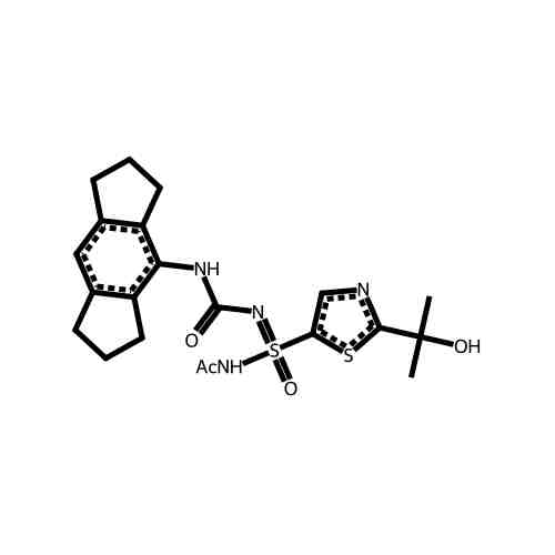 CC(=O)NS(=O)(=NC(=O)Nc1c2c(cc3c1CCC3)CCC2)c1cnc(C(C)(C)O)s1